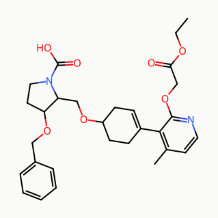 CCOC(=O)COc1nccc(C)c1C1=CCC(OCC2C(OCc3ccccc3)CCN2C(=O)O)CC1